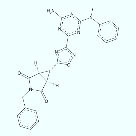 CN(c1ccccc1)c1nc(N)nc(-c2noc([C@H]3[C@@H]4C(=O)N(Cc5ccccc5)C(=O)[C@@H]43)n2)n1